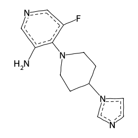 Nc1cncc(F)c1N1CCC(n2ccnc2)CC1